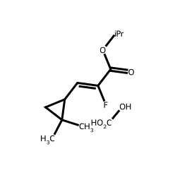 CC(C)OC(=O)C(F)=CC1CC1(C)C.O=C(O)O